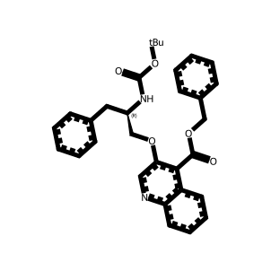 CC(C)(C)OC(=O)N[C@@H](COc1cnc2ccccc2c1C(=O)OCc1ccccc1)Cc1ccccc1